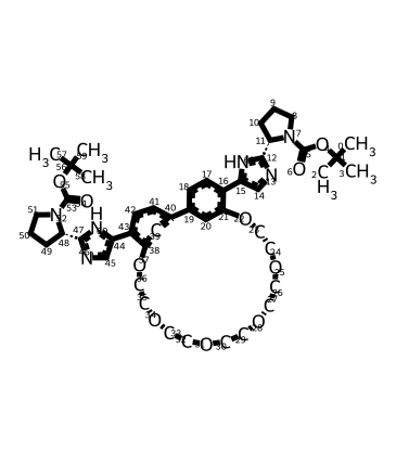 CC(C)(C)OC(=O)N1CCC[C@H]1c1ncc(-c2ccc3cc2OCCOCCOCCOCCOCCOc2cc-3ccc2-c2cnc([C@@H]3CCCN3C(=O)OC(C)(C)C)[nH]2)[nH]1